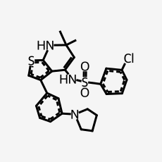 CC1(C)C=C(NS(=O)(=O)c2cccc(Cl)c2)c2c(-c3cccc(N4CCCC4)c3)csc2N1